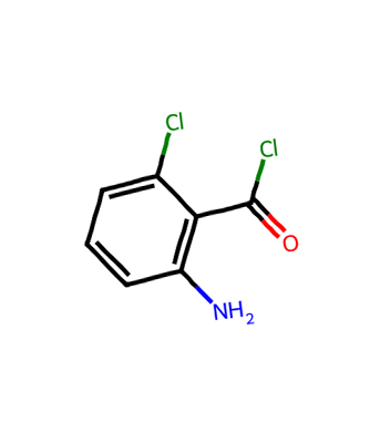 Nc1cccc(Cl)c1C(=O)Cl